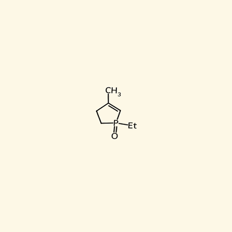 CCP1(=O)C=C(C)CC1